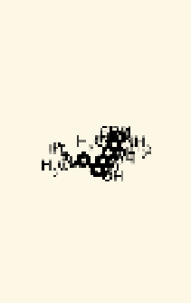 CC(C)CCN(C)Cc1cccc(-c2ccc(O)c3c2CC2CC4C(C(O)=C2C3=O)[C@@](C)(O)C(C(N)=O)=C(O)[C@H]4N(C)C)c1